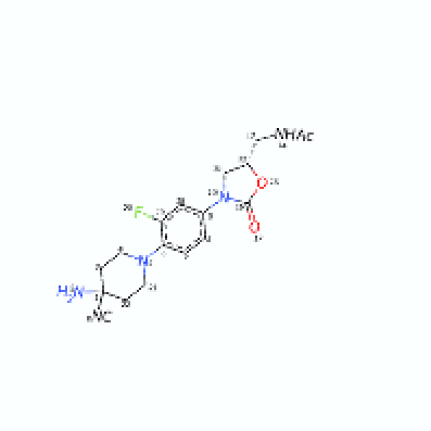 [C-]#[N+]C1(N)CCN(c2ccc(N3C[C@H](CNC(C)=O)OC3=O)cc2F)CC1